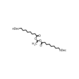 C=C(OC(=O)CCCCCCCCCCCCCCCCC)OC(=O)CCCCCCCCCCCCCCCCC